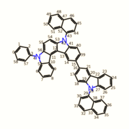 c1ccc(-n2c3ccccc3c3c4c5cc(-c6ccc7c(c6)c6ccccc6n7-c6cccc7ccccc67)ccc5n(-c5cccc6ccccc56)c4ccc32)cc1